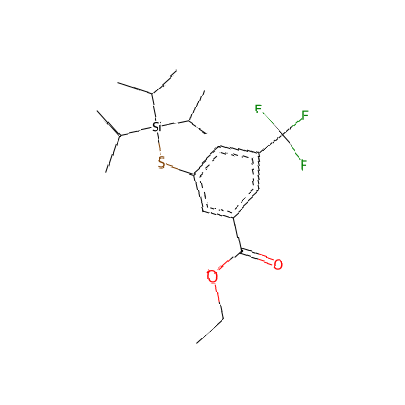 CCOC(=O)c1cc(S[Si](C(C)C)(C(C)C)C(C)C)cc(C(F)(F)F)c1